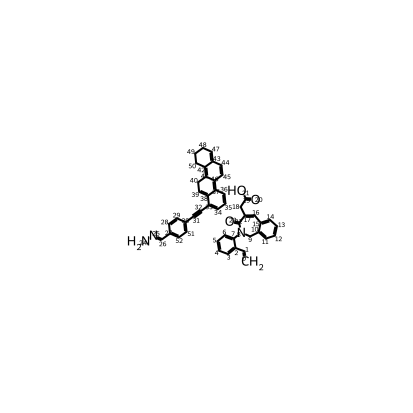 C=Cc1ccccc1N1Cc2ccccc2C=C(CC(=O)O)C1=O.NN=Cc1ccc(C#Cc2cccc3c2=CCc2c4c(ccc2=3)=CCCC4)cc1